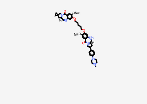 COc1cc2c(cc1OCCCCCOc1cc3c(cc1OC)C(=O)N1C=C(c4ccc(N5CCN(C)CC5)cc4)C[C@H]1CN3)N=C[C@@H]1CC3(CC3)CN1C2=O